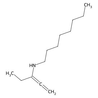 C=C=C(CC)NCCCCCCCC